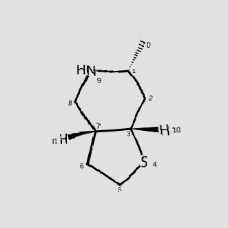 C[C@@H]1C[C@@H]2SCC[C@@H]2CN1